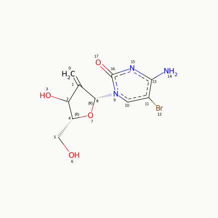 C=C1C(O)[C@@H](CO)O[C@H]1n1cc(Br)c(N)nc1=O